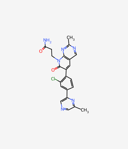 Cc1cncc(-c2ccc(-c3cc4cnc(C)nc4n(CCC(N)=O)c3=O)c(Cl)c2)n1